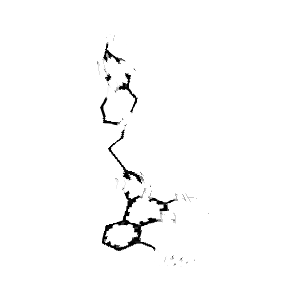 COc1cccc2c1nc(N)n1nc(CCN3CCn4nc(C(F)(F)F)nc4C3)nc21